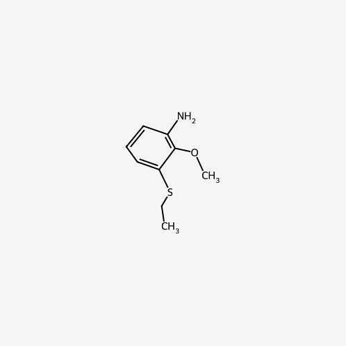 CCSc1cccc(N)c1OC